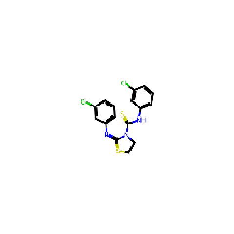 S=C(Nc1cccc(Cl)c1)N1CCS/C1=N/c1cccc(Cl)c1